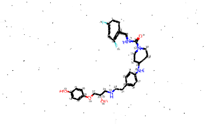 O=C(NCc1ccc(F)cc1F)N1CCC(Nc2ccc(CCNC[C@H](O)COc3ccc(O)cc3)cc2)CC1